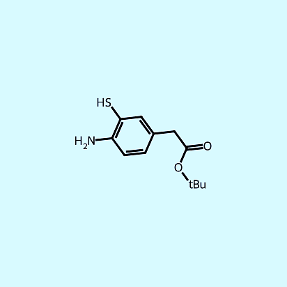 CC(C)(C)OC(=O)Cc1ccc(N)c(S)c1